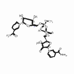 COP(=O)(O/C=C1/O[C@H](N2C=CCC(C(N)=O)=C2)[C@H](O)[C@@H]1O)OP(=O)(O)OC[C@H]1O[C@H](N2C=CCC(C(N)=O)=C2)C(=O)C1O